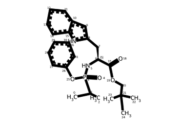 CC(C)P(=O)(N[C@@H](Cc1cc2ccccc2[nH]1)C(=O)OCC(C)(C)C)Oc1ccccc1